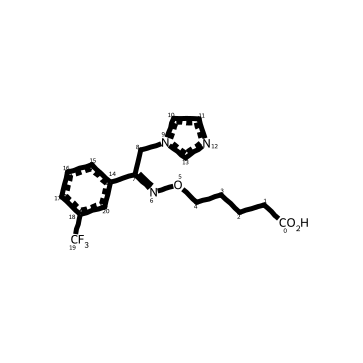 O=C(O)CCCCO/N=C(\Cn1ccnc1)c1cccc(C(F)(F)F)c1